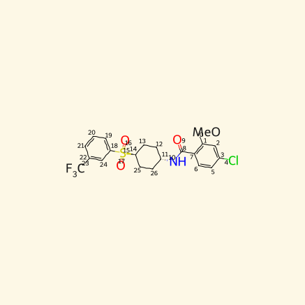 COc1cc(Cl)ccc1C(=O)N[C@H]1CC[C@H](S(=O)(=O)c2cccc(C(F)(F)F)c2)CC1